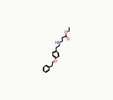 CCOC(=O)CCNCCc1ccc(OCCc2ccccc2)cc1